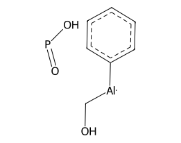 O=PO.O[CH2][Al][c]1ccccc1